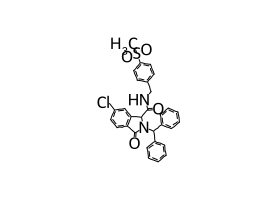 CS(=O)(=O)c1ccc(CNC(=O)C2c3cc(Cl)ccc3C(=O)N2C(c2ccccc2)c2ccccc2)cc1